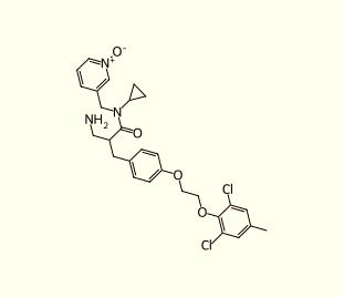 Cc1cc(Cl)c(OCCOc2ccc(CC(CN)C(=O)N(Cc3ccc[n+]([O-])c3)C3CC3)cc2)c(Cl)c1